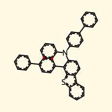 c1ccc(-c2ccc(-c3c(N(c4ccccc4)c4ccc(-c5ccccc5)cc4)ccc4c3sc3ccccc34)cc2)cc1